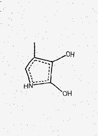 Cc1c[nH]c(O)c1O